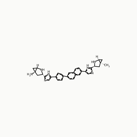 C[C@]12C[C@@H](c3ncc(-c4ccc5cc(-c6ccc(-c7cnc([C@@H]8C[C@]9(N)C[C@@H]9N8)[nH]7)cc6)ccc5c4)[nH]3)N[C@H]1C2